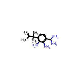 BC(C)(C(=C)C)c1ccc(C(N)N)c(N)c1N